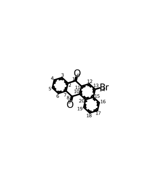 O=C1c2ccccc2C(=O)c2c1cc(Br)c1ccccc21